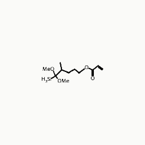 C=CC(=O)OCCCC(C)C([SiH3])(OC)OC